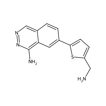 NCc1ccc(-c2ccc3cnnc(N)c3c2)s1